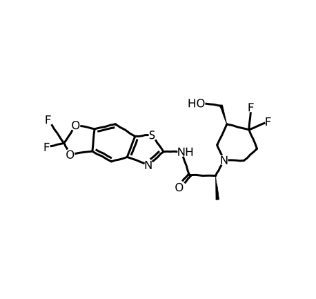 C[C@@H](C(=O)Nc1nc2cc3c(cc2s1)OC(F)(F)O3)N1CCC(F)(F)[C@H](CO)C1